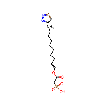 CCCCCCCCC=COC(=O)CS(=O)(=O)O.c1csnn1